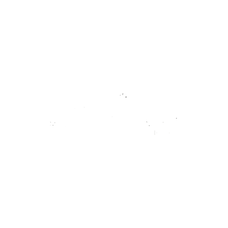 COc1ccc(CCC2Cc3nc(P(=O)(O)O)ccc3CN2)cc1